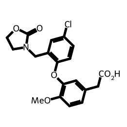 COc1ccc(CC(=O)O)cc1Oc1ccc(Cl)cc1CN1CCOC1=O